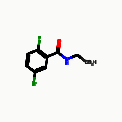 O=C(O)CNC(=O)c1cc(Br)ccc1F